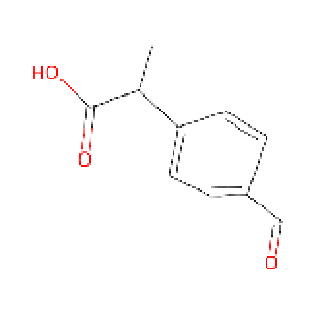 CC(C(=O)O)c1ccc(C=O)cc1